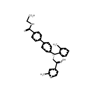 Cc1cc(/C(C[C@H](c2ccc(-c3ccc(C(=O)NCC(=O)O)cc3)cc2)c2ccccc2C)=N/O)ccn1